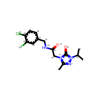 Cc1nn(C(C)C)c(=O)n1CC(=O)NCc1ccc(Cl)c(F)c1